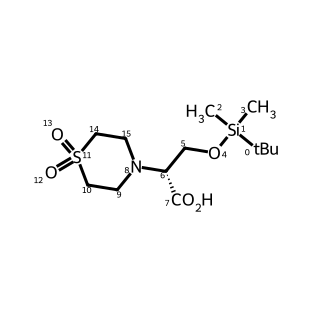 CC(C)(C)[Si](C)(C)OC[C@H](C(=O)O)N1CCS(=O)(=O)CC1